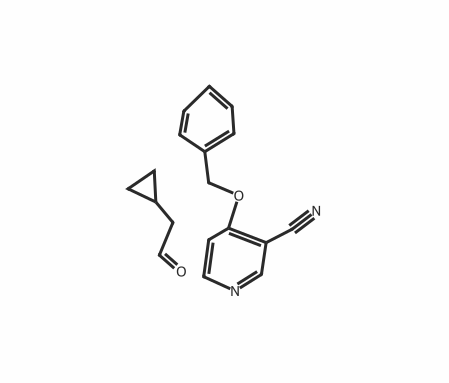 N#Cc1cnccc1OCc1ccccc1.O=CCC1CC1